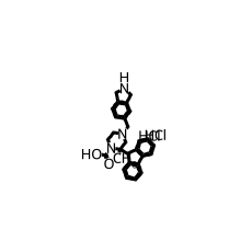 CC1(C2c3ccccc3-c3ccccc32)CN(Cc2ccc3c(c2)CNC3)CCN1C(=O)O.Cl.Cl